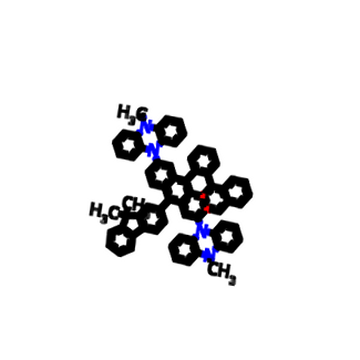 CN1c2ccccc2N(c2ccc3c(-c4ccccc4-c4cccc5ccccc45)c4cc(N5c6ccccc6N(C)c6ccccc65)ccc4c(-c4ccc5c(c4)C(C)(C)c4ccccc4-5)c3c2)c2ccccc21